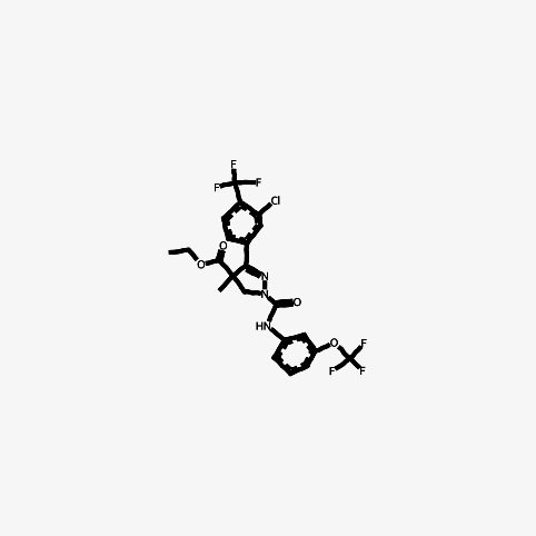 CCOC(=O)C1(C)CN(C(=O)Nc2cccc(OC(F)(F)F)c2)N=C1c1ccc(C(F)(F)F)c(Cl)c1